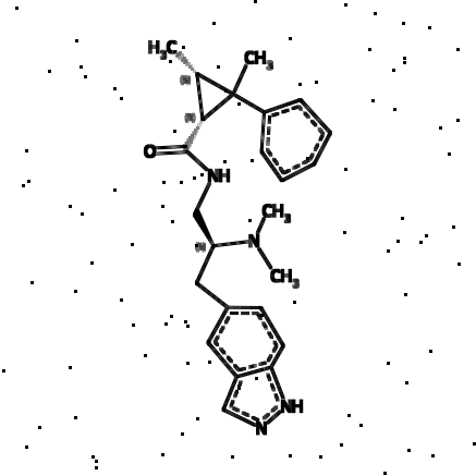 C[C@H]1[C@@H](C(=O)NC[C@H](Cc2ccc3[nH]ncc3c2)N(C)C)C1(C)c1ccccc1